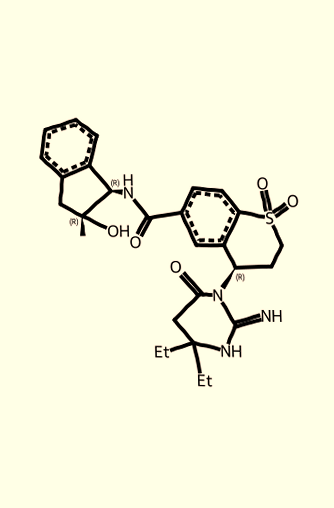 CCC1(CC)CC(=O)N([C@@H]2CCS(=O)(=O)c3ccc(C(=O)N[C@@H]4c5ccccc5C[C@@]4(C)O)cc32)C(=N)N1